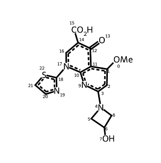 COc1cc(N2CC(O)C2)nc2c1c(=O)c(C(=O)O)cn2-c1nccs1